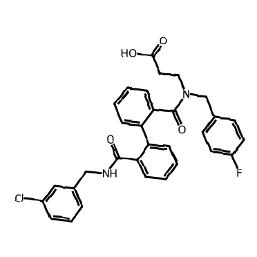 O=C(O)CCN(Cc1ccc(F)cc1)C(=O)c1ccccc1-c1ccccc1C(=O)NCc1cccc(Cl)c1